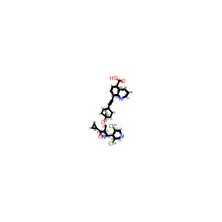 O=C(O)c1ccc(C#CC23CCC(OCc4c(-c5c(Cl)cncc5Cl)noc4C4CC4)(CC2)CC3)c2ncccc12